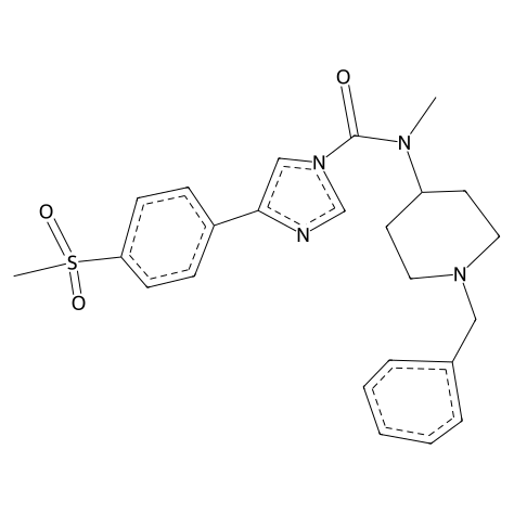 CN(C(=O)n1cnc(-c2ccc(S(C)(=O)=O)cc2)c1)C1CCN(Cc2ccccc2)CC1